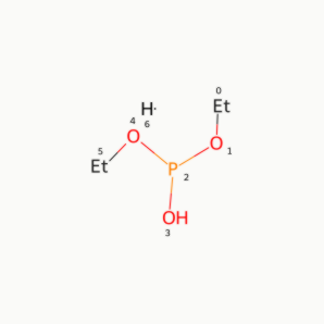 CCOP(O)OCC.[H]